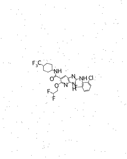 O=C(NC1CCC(C(F)(F)F)CC1)c1cc2nc(Nc3c(F)cccc3Cl)[nH]c2nc1OCC(F)F